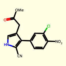 COC(=O)Cc1c[nH]c(C#N)c1-c1ccc([N+](=O)[O-])c(Cl)c1